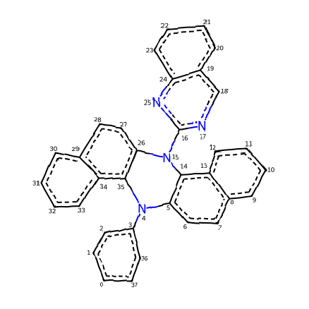 c1ccc(N2c3ccc4ccccc4c3N(c3ncc4ccccc4n3)c3ccc4ccccc4c32)cc1